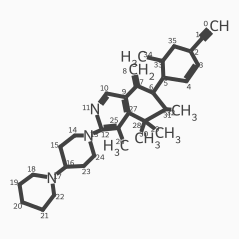 C#CC1C=CC(C2C(=C)c3cnc(N4CCC(N5CCCCC5)CC4)c(C)c3C(C)(C)C2C)C(C)C1